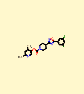 Cc1cc(C)c(OC(=O)N2CCC(c3noc(-c4cc(F)cc(F)c4)n3)CC2)cn1